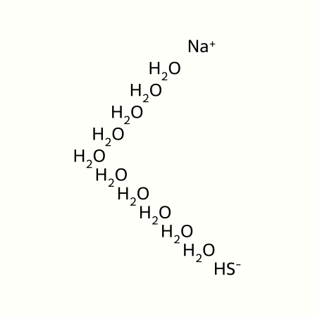 O.O.O.O.O.O.O.O.O.O.[Na+].[SH-]